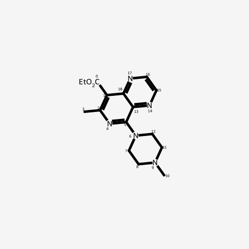 CCOC(=O)c1c(C)nc(N2CCN(C)CC2)c2nccnc12